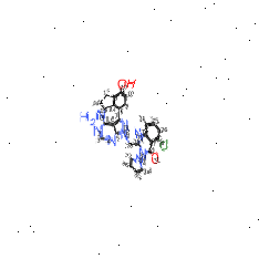 Nc1ncnc2c1c(-c1ccc(O)c3c1CCC3)nn2Cc1nc2cccc(Cl)c2c(=O)n1-n1cccc1